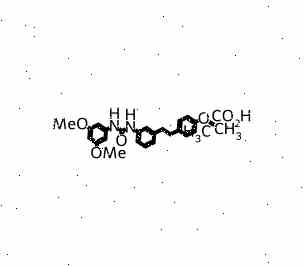 COc1cc(NC(=O)Nc2cccc(CCc3ccc(OC(C)(C)C(=O)O)cc3)c2)cc(OC)c1